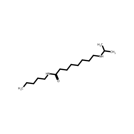 CCCCCNC(=O)CCCCCCCNC(C)C